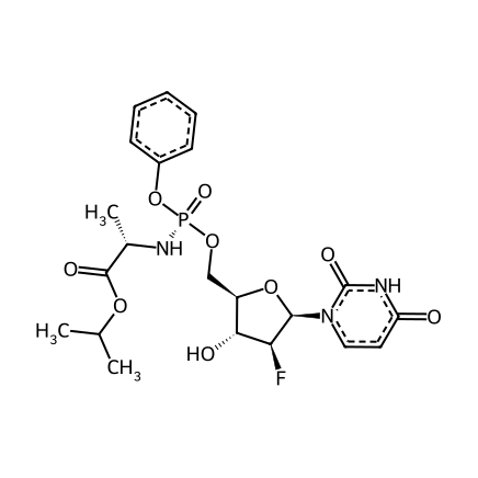 CC(C)OC(=O)[C@H](C)N[P@](=O)(OC[C@H]1O[C@@H](n2ccc(=O)[nH]c2=O)[C@@H](F)[C@@H]1O)Oc1ccccc1